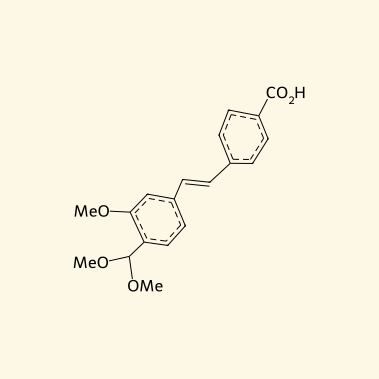 COc1cc(C=Cc2ccc(C(=O)O)cc2)ccc1C(OC)OC